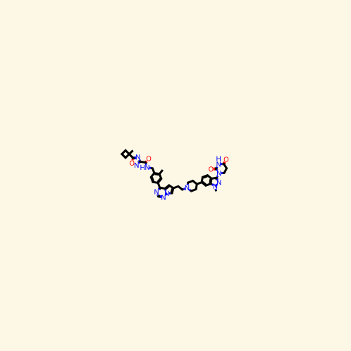 Cc1cc(-c2ncnn3cc(CCN4CCC(c5ccc6c(N7CCC(=O)NC7=O)nn(C)c6c5)CC4)cc23)ccc1CNC(=O)c1noc(C2(C)CCC2)n1